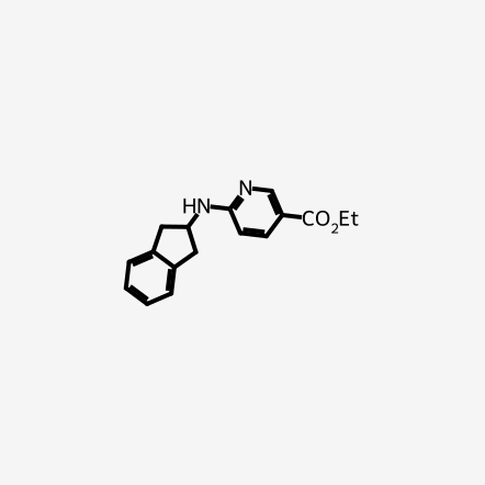 CCOC(=O)c1ccc(NC2Cc3ccccc3C2)nc1